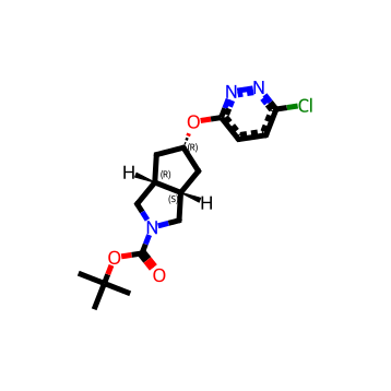 CC(C)(C)OC(=O)N1C[C@H]2C[C@@H](Oc3ccc(Cl)nn3)C[C@H]2C1